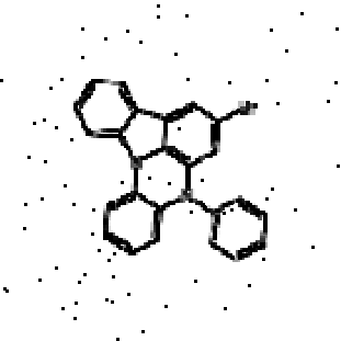 Brc1cc2c3c(c1)c1ccccc1n3-c1ccccc1N2c1ccccc1